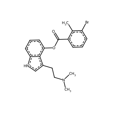 Cc1c(Br)cccc1C(=O)Oc1cccc2[nH]cc(CCN(C)C)c12